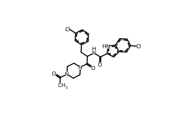 CC(=O)N1CCN(C(=O)C(Cc2cccc(Cl)c2)NC(=O)c2cc3cc(Cl)ccc3[nH]2)CC1